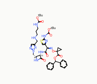 CC(C)(C)OC(=O)NCCCNCc1cnn(C[C@H]2NC(=O)[C@H]2NC(=O)C(=NOC2(C(=O)OC(c3ccccc3)c3ccccc3)CC2)c2csc(NC(=O)OC(C)(C)C)n2)n1